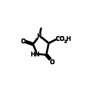 CN1C(=O)NC(=O)C1C(=O)O